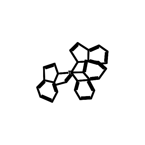 C[CH]=[Ti]([c]1ccccc1)([c]1ccccc1)([CH]1C=Cc2ccccc21)[CH]1C=Cc2ccccc21